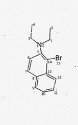 CCN(CC)c1ccc2ccccc2c1Br